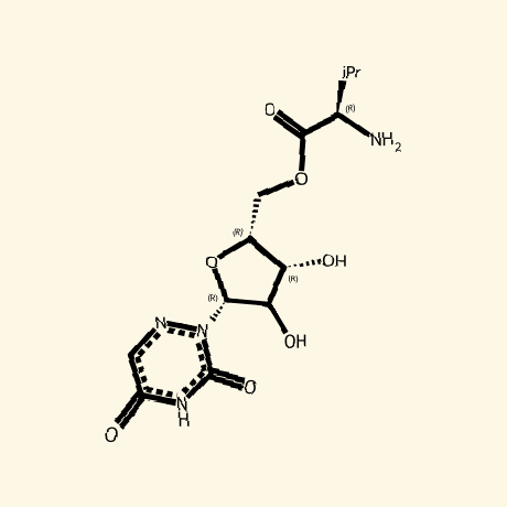 CC(C)[C@@H](N)C(=O)OC[C@H]1O[C@@H](n2ncc(=O)[nH]c2=O)C(O)[C@H]1O